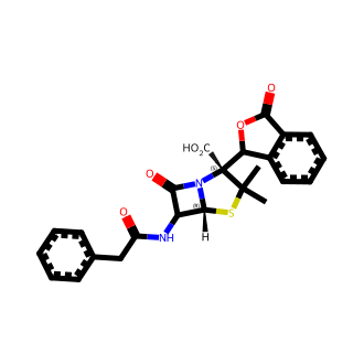 CC1(C)S[C@@H]2C(NC(=O)Cc3ccccc3)C(=O)N2[C@]1(C(=O)O)C1OC(=O)c2ccccc21